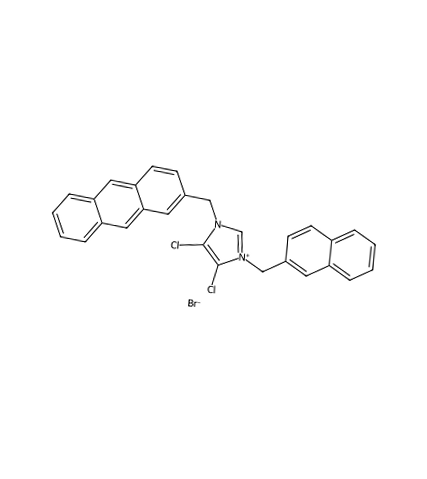 Clc1c(Cl)[n+](Cc2ccc3ccccc3c2)cn1Cc1ccc2cc3ccccc3cc2c1.[Br-]